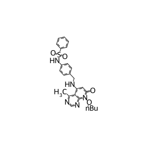 CCCCOn1c(=O)cc(NCc2ccc(NS(=O)(=O)c3ccccc3)cc2)c2c(C)ncnc21